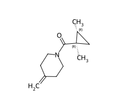 C=C1CCN(C(=O)[C@]2(C)C[C@H]2C)CC1